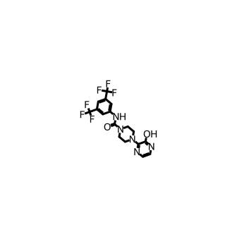 O=C(Nc1cc(C(F)(F)F)cc(C(F)(F)F)c1)N1CCN(c2nccnc2O)CC1